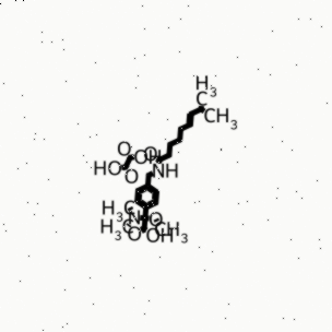 COC(C(=O)O)(c1ccc(CNC(=O)CCCCC=CC(C)C)cc1)N(C)C.O=C(O)C(=O)O